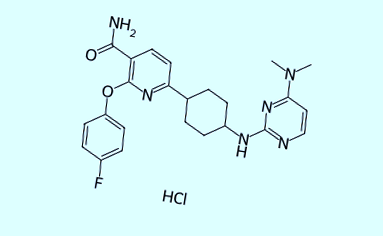 CN(C)c1ccnc(NC2CCC(c3ccc(C(N)=O)c(Oc4ccc(F)cc4)n3)CC2)n1.Cl